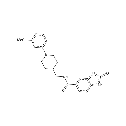 COc1cccc(N2CCC(CNC(=O)c3ccc4[nH]c(=O)oc4c3)CC2)c1